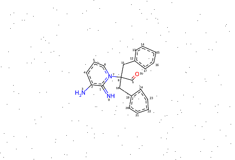 N=c1c(N)cccn1C(C=O)(Cc1ccccc1)Cc1ccccc1